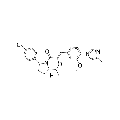 COc1cc(C=C2OC(C)[C@H]3CCC(c4ccc(Cl)cc4)N3C2=O)ccc1-n1cnc(C)c1